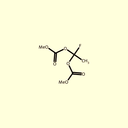 COC(=O)OC(C)(F)OC(=O)OC